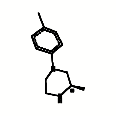 Cc1ccc(N2CCN[C@H](C)C2)cc1